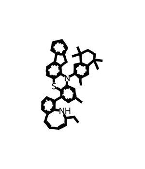 CCC1/C=C\C=C/c2cccc(-c3cc(C)cc4c3Sc3ccc5c(c3N4c3cc4c(cc3C)C(C)(C)CCC4(C)C)Cc3ccccc3-5)c2N1